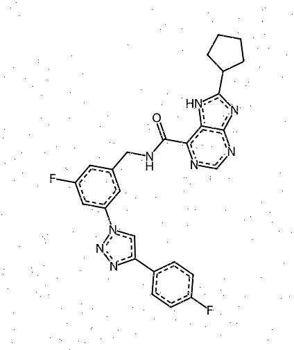 O=C(NCc1cc(F)cc(-n2cc(-c3ccc(F)cc3)nn2)c1)c1ncnc2nc(C3CCCC3)[nH]c12